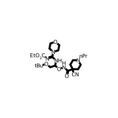 CCCN1CCC(C#N)(C(=O)NOC(COC(C)(C)C)NC(=NC(=O)OCC)N2CCOCC2)CC1